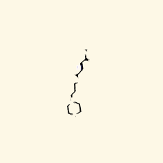 COC(=O)/C=C/C(=O)OCCCN1CCNCC1